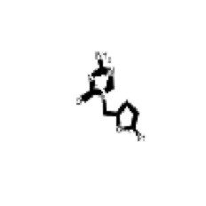 CC[C@@H]1CCC(Cn2cnc(N)nc2=O)O1